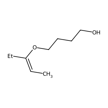 CC=C(CC)OCCCCO